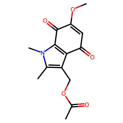 COC1=CC(=O)c2c(COC(C)=O)c(C)n(C)c2C1=O